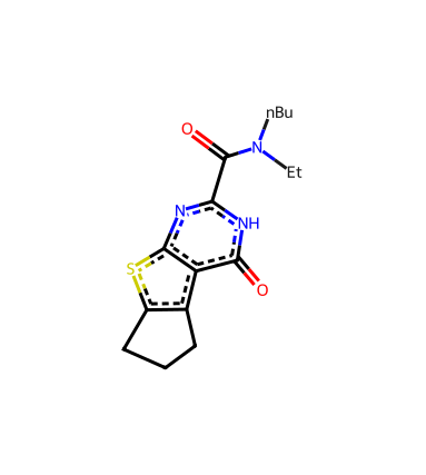 CCCCN(CC)C(=O)c1nc2sc3c(c2c(=O)[nH]1)CCC3